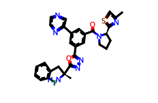 Cc1csc([C@H]2CCCN2C(=O)c2cc(-c3cnccn3)cc(-c3nnc([C@](C)(N)Cc4ccccc4F)o3)c2)n1